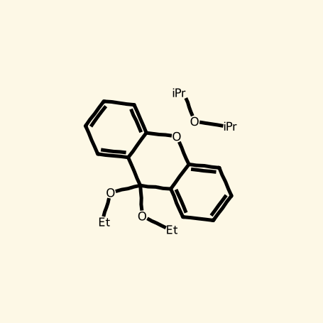 CC(C)OC(C)C.CCOC1(OCC)c2ccccc2Oc2ccccc21